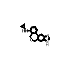 c1cc(NC2CC2)c2c(c1)-c1cc3nc[nH]c3cc1COC2